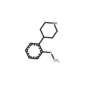 CSc1ccccc1C1CCNCC1